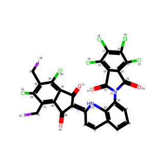 O=C1/C(=C2/C=Cc3cccc(N4C(=O)c5c(Cl)c(Cl)c(Cl)c(Cl)c5C4=O)c3N2)C(=O)c2c(CI)c(Cl)c(CI)c(Cl)c21